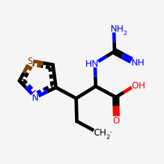 [CH2]CC(c1cscn1)C(NC(=N)N)C(=O)O